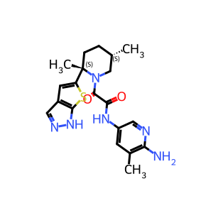 Cc1cc(NC(=O)C(=O)N2C[C@@H](C)CC[C@@]2(C)c2cc3cn[nH]c3s2)cnc1N